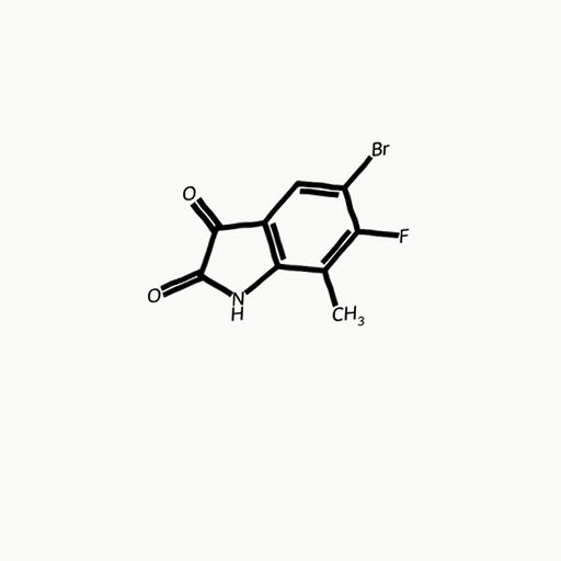 Cc1c(F)c(Br)cc2c1NC(=O)C2=O